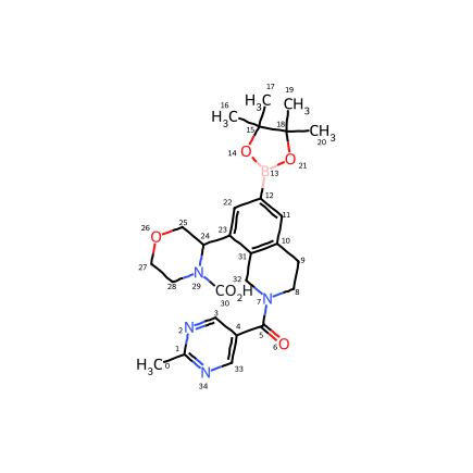 Cc1ncc(C(=O)N2CCc3cc(B4OC(C)(C)C(C)(C)O4)cc(C4COCCN4C(=O)O)c3C2)cn1